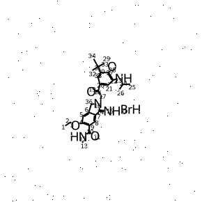 Br.CCOc1cc2c(cc1C(=O)NC)C(=N)N(CC(=O)c1cc(NC(C)C)c(OC)c(C(C)(C)C)c1)C2